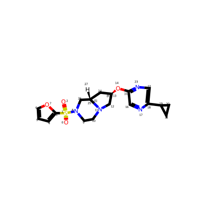 O=S(=O)(c1ccco1)N1CCN2C[C@H](Oc3cnc(C4CC4)cn3)C[C@H]2C1